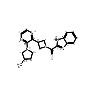 O=C(c1nc2ccccc2[nH]1)N1CC(c2nccnc2N2CC[C@@H](O)C2)C1